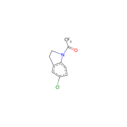 O=C(N1CCc2cc(Cl)ccc21)C(F)(F)F